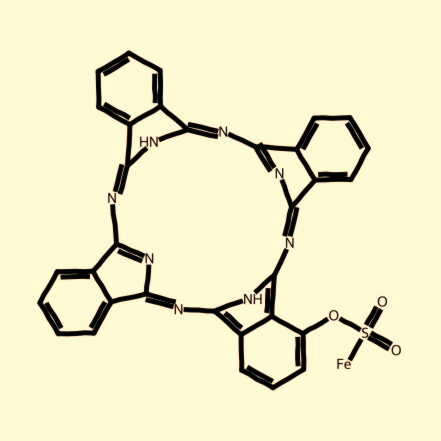 O=[S](=O)([Fe])Oc1cccc2c3nc4nc(nc5[nH]c(nc6nc(nc([nH]3)c12)-c1ccccc1-6)c1ccccc51)-c1ccccc1-4